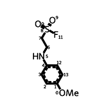 COc1ccc(NCCS(=O)(=O)F)cc1